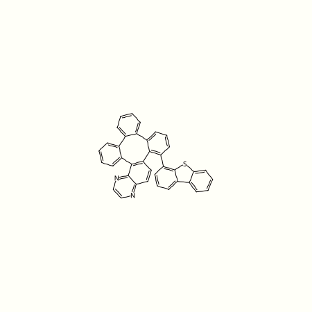 c1ccc2c(c1)-c1ccccc1-c1c(ccc3nccnc13)-c1c-2cccc1-c1cccc2c1sc1ccccc12